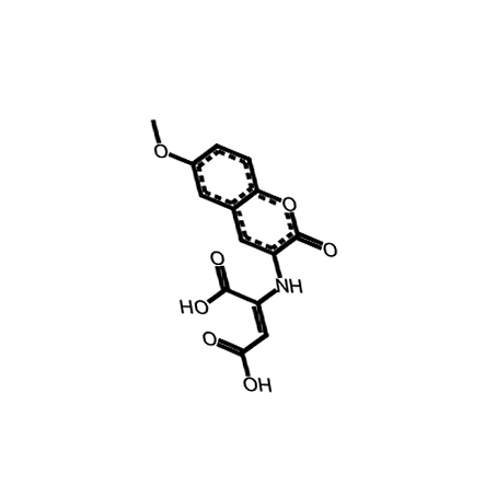 COc1ccc2oc(=O)c(NC(=CC(=O)O)C(=O)O)cc2c1